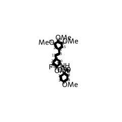 COc1ccc(S(=O)(=O)Nc2cc(C=Cc3cc(OC)c(OC)c(OC)c3)cc(F)c2OC)cc1